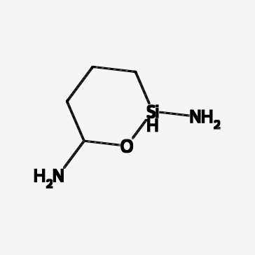 NC1CCC[SiH](N)O1